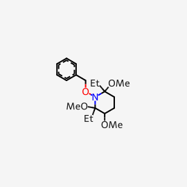 CCC1(OC)CCC(OC)C(CC)(OC)N1OCc1ccccc1